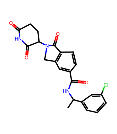 CC(NC(=O)c1ccc2c(c1)CN(C1CCC(=O)NC1=O)C2=O)c1cccc(Cl)c1